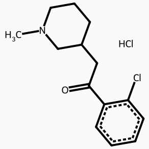 CN1CCCC(CC(=O)c2ccccc2Cl)C1.Cl